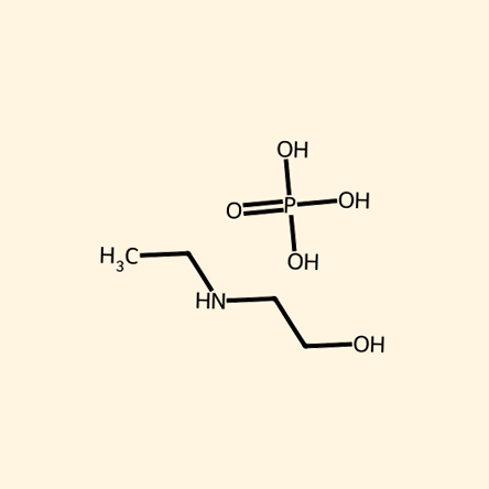 CCNCCO.O=P(O)(O)O